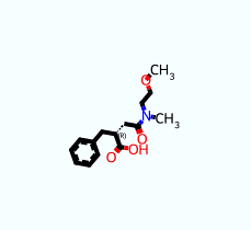 COCCN(C)C(=O)C[C@@H](Cc1ccccc1)C(=O)O